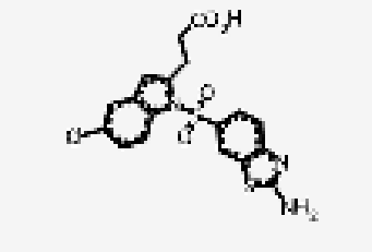 Nc1nc2ccc(S(=O)(=O)n3c(CCC(=O)O)cc4cc(Cl)ccc43)cc2s1